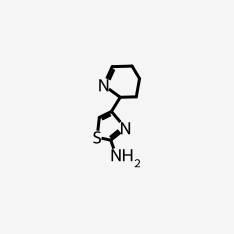 Nc1nc(C2CCCC=N2)cs1